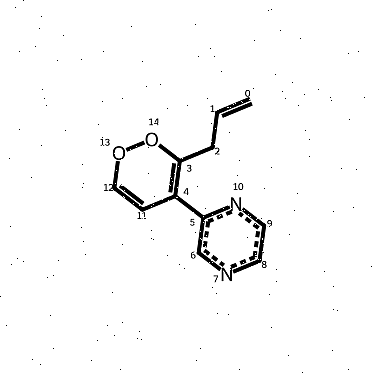 C=CCC1=C(c2cnccn2)C=COO1